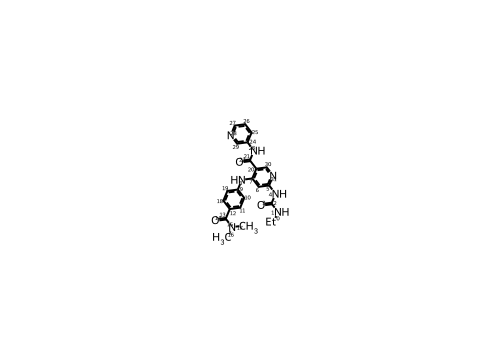 CCNC(=O)Nc1cc(Nc2ccc(C(=O)N(C)C)cc2)c(C(=O)Nc2cccnc2)cn1